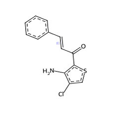 Nc1c(Cl)csc1C(=O)/C=C/c1ccccc1